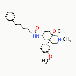 COc1cccc(C23CCN(C)CC2(OC)CCC(NC(=O)CCCCCc2ccccc2)C3)c1